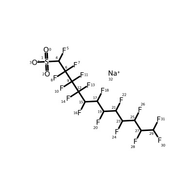 O=S(=O)([O-])C(F)C(F)(F)C(F)(F)C(F)(F)C(F)C(F)C(F)C(F)C(F)C(F)C(F)C(F)F.[Na+]